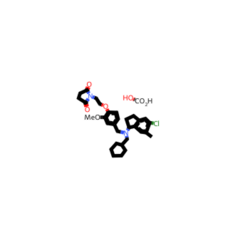 COc1cc(CN(CC2CCCCC2)C2CCc3cc(Cl)c(C)cc32)ccc1OCCN1C(=O)CCC1=O.O=C(O)O